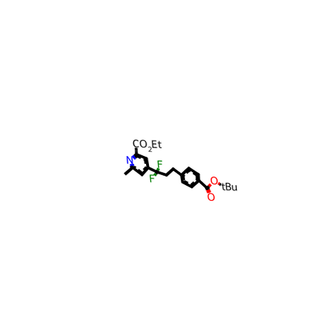 CCOC(=O)c1cc(C(F)(F)CCc2ccc(C(=O)OC(C)(C)C)cc2)cc(C)n1